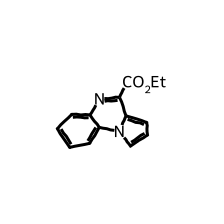 CCOC(=O)c1nc2ccccc2n2cccc12